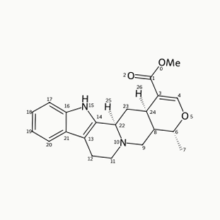 COC(=O)C1=CO[C@H](C)C2CN3CCc4c([nH]c5ccccc45)[C@H]3C[C@@H]12